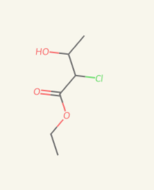 CCOC(=O)C(Cl)C(C)O